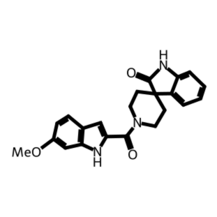 COc1ccc2cc(C(=O)N3CCC4(CC3)C(=O)Nc3ccccc34)[nH]c2c1